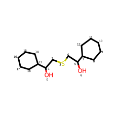 OC(CSCC(O)C1CCCCC1)C1CCCCC1